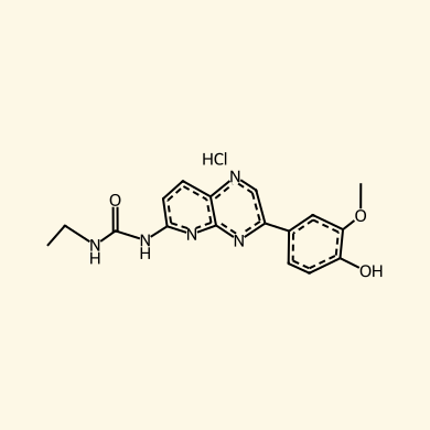 CCNC(=O)Nc1ccc2ncc(-c3ccc(O)c(OC)c3)nc2n1.Cl